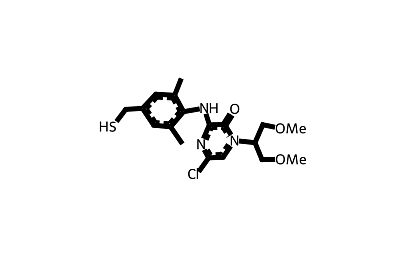 COCC(COC)n1cc(Cl)nc(Nc2c(C)cc(CS)cc2C)c1=O